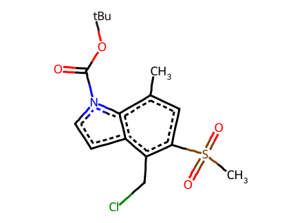 Cc1cc(S(C)(=O)=O)c(CCl)c2ccn(C(=O)OC(C)(C)C)c12